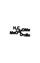 CCCCO[Si](C)(OC)OC